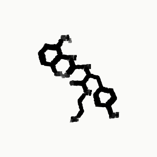 Cc1cccc(C)c1NC(=O)NC(Cc1ccc(O)cc1)C(=O)NCCC#N